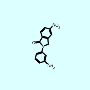 Nc1cccc(N2Cc3cc([N+](=O)[O-])ccc3C2=O)c1